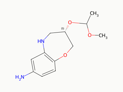 COC(C)O[C@H]1CNc2cc(N)ccc2OC1